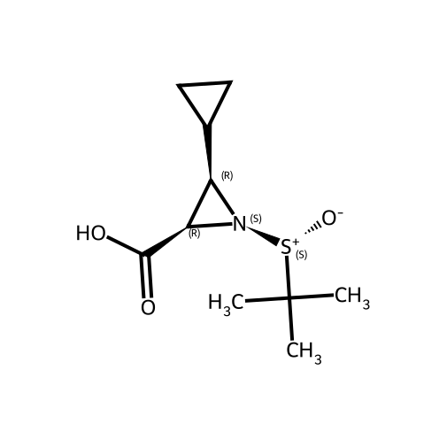 CC(C)(C)[S@@+]([O-])[N@]1[C@H](C2CC2)[C@@H]1C(=O)O